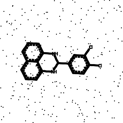 Clc1ccc(C2Nc3cccc4cccc(c34)N2)cc1Cl